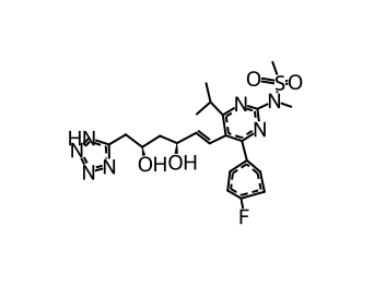 CC(C)c1nc(N(C)S(C)(=O)=O)nc(-c2ccc(F)cc2)c1/C=C/[C@@H](O)C[C@@H](O)Cc1nnn[nH]1